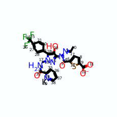 CC=NN(C(=O)c1ccc(C(=O)[O-])s1)c1nn(C)c(-c2ccc(C(F)(F)F)cc2)c1O.NC(=O)c1ccccn1.[K+]